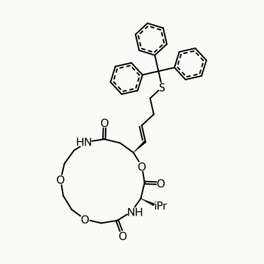 CC(C)[C@H]1NC(=O)COCCOCCNC(=O)C[C@@H](/C=C/CCSC(c2ccccc2)(c2ccccc2)c2ccccc2)OC1=O